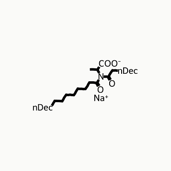 CCCCCCCCCCCCCCCCCC(=O)N(C(=O)CCCCCCCCCCC)C(C)C(=O)[O-].[Na+]